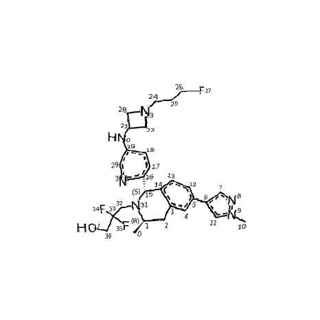 C[C@@H]1Cc2cc(-c3cnn(C)c3)ccc2[C@@H](c2ccc(NC3CN(CCCF)C3)cn2)N1CC(F)(F)CO